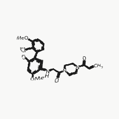 C=CC(=O)N1CCN(C(=O)CNc2cc(-c3cccc(OC)c3Cl)c(Cl)cc2OC)CC1